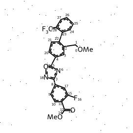 COCc1cc(-c2nc(-c3ccc(C(=O)OC)c(F)c3)no2)ccc1-c1ccccc1C(F)(F)F